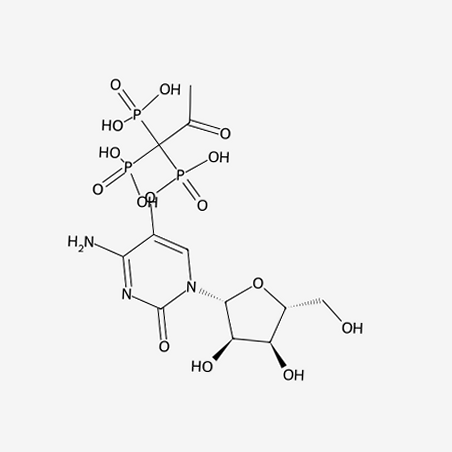 CC(=O)C(P(=O)(O)O)(P(=O)(O)O)P(=O)(O)Oc1cn([C@@H]2O[C@H](CO)[C@@H](O)[C@H]2O)c(=O)nc1N